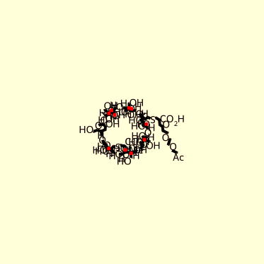 CN[C@H](CSCC1O[C@H]2O[C@H]3CC(O)[C@H](OC3CO)O[C@@H]3C(CO)O[C@H](O[C@@H]4C(CO)O[C@H](O[C@@H]5C(CSC[C@@H](CC(=O)CCOCCOCCC(C)=O)C(=O)O)O[C@H](O[C@@H]6C(CO)O[C@@H](O[C@@H]7C(CO)O[C@@H](O[C@H]1[C@H](O)C2O)C(O)[C@H]7O)C(O)[C@H]6O)C(O)[C@H]5O)C(O)[C@H]4O)C(O)[C@H]3O)C(=O)O